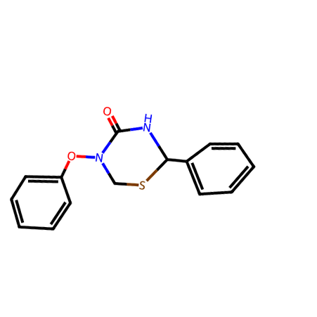 O=C1NC(c2ccccc2)SCN1Oc1ccccc1